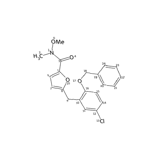 CON(C)C(=O)c1ccc(Cc2cc(Cl)ccc2OCc2ccccc2)o1